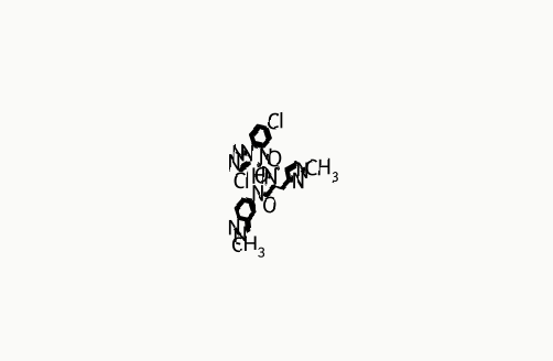 Cn1ccc(C[C@@H](C(=O)Nc2ccc3nn(C)cc3c2)N2CON(c3cc(Cl)ccc3-n3cc(Cl)nn3)CO2)n1